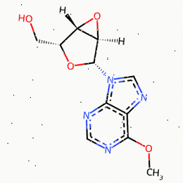 COc1ncnc2c1ncn2[C@@H]1O[C@H](CO)[C@@H]2O[C@H]21